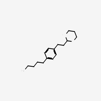 BrCCCCc1ccc(CCC2SCCCS2)cc1